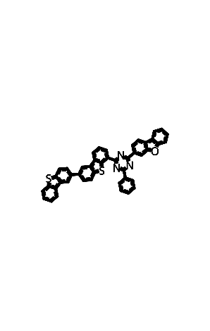 c1ccc(-c2nc(-c3ccc4c(c3)oc3ccccc34)nc(-c3cccc4c3sc3ccc(-c5ccc6sc7ccccc7c6c5)cc34)n2)cc1